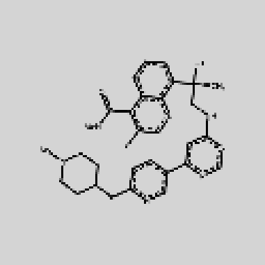 CNC(=O)c1c(F)cnc2c([C@](C)(S)CNc3cc(-c4ccc(CC5CCN(C(C)=O)CC5)nc4)ncn3)cccc12